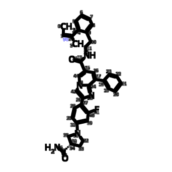 C/C=C(/C)c1ccccc1CCNC(=O)c1cc(-c2ccccc2)c2nc(-c3ccc(N4CC[C@H](C(N)=O)C4)cc3F)cn2c1